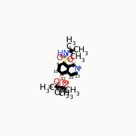 CC(C)(C)NS(=O)(=O)c1ccc(B2OC(C)(C)C(C)(C)O2)c2ccncc12